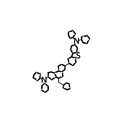 c1ccc(Cc2cc3cc(-c4ccc5sc6cc(N(c7ccccc7)c7ccccc7)ccc6c5c4)ccc3c3ccc(N(c4ccccc4)c4ccccc4)cc23)cc1